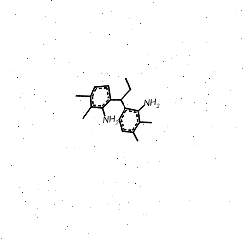 CCC(c1ccc(C)c(C)c1N)c1ccc(C)c(C)c1N